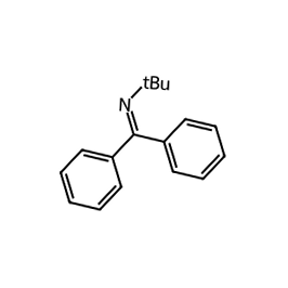 CC(C)(C)N=C(c1ccccc1)c1ccccc1